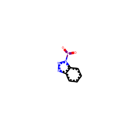 O=P(=O)n1nnc2ccccc21